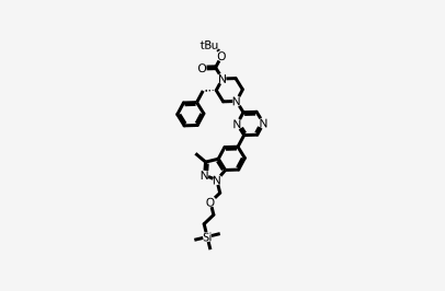 Cc1nn(COCC[Si](C)(C)C)c2ccc(-c3cncc(N4CCN(C(=O)OC(C)(C)C)[C@@H](Cc5ccccc5)C4)n3)cc12